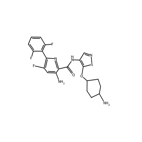 Nc1cc(F)c(-c2c(F)cccc2F)nc1C(=O)Nc1cnsc1OC1CCC(N)CC1